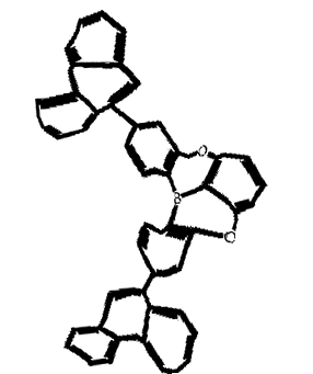 c1cc2c3c(c1)Oc1cc(-c4cc5ccccc5c5ccccc45)ccc1B3c1ccc(-c3cc4ccccc4c4ccccc34)cc1O2